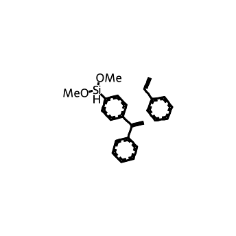 C=C(c1ccccc1)c1ccc([SiH](OC)OC)cc1.C=Cc1ccccc1